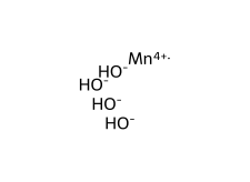 [Mn+4].[OH-].[OH-].[OH-].[OH-]